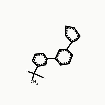 CC(F)(F)c1cccc(-c2cccc(-c3ccccc3)c2)c1